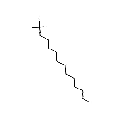 CCCCCCCCCCCCC(N)(N)N